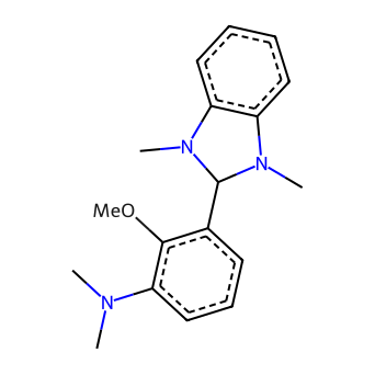 COc1c(C2N(C)c3ccccc3N2C)cccc1N(C)C